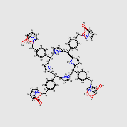 O=C1C2C=CC(OO2)N1Cc1ccc(/C2=C3\C=CC(N3)C(c3ccc(CN4C(=O)C5C=CC4OO5)cc3)C3=NC(C=C3)C(c3ccc(CN4C(=O)C5C=CC4OO5)cc3)c3ccc([nH]3)/C(c3ccc(CN4C(=O)C5C=CC4OO5)cc3)=C3/C=CC2=N3)cc1